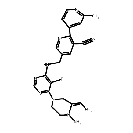 Cc1cc(-c2ncc(CNc3ncnc(N4CCN(N)/C(=C\N)C4)c3F)cc2C#N)ccn1